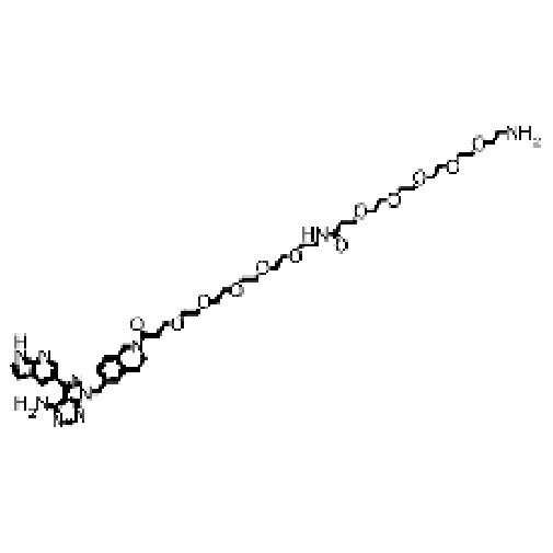 NCCOCCOCCOCCOCCOCCC(=O)NCCOCCOCCOCCOCCOCCC(=O)N1CCc2cc(Cn3nc(-c4cnc5[nH]ccc5c4)c4c(N)ncnc43)ccc2C1